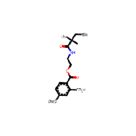 COc1ccc(C(=O)OCCNC(=O)C(C)(CC(C)(C)C)C(C)(C)C)c(C(=O)O)c1